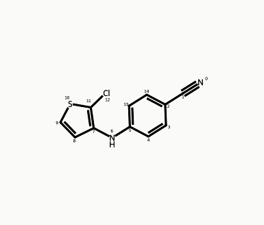 N#Cc1ccc(Nc2ccsc2Cl)cc1